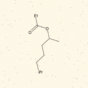 CCC(=O)OC(C)CCCC(C)C